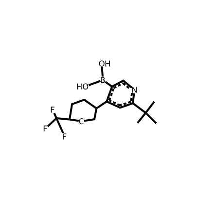 CC(C)(C)c1cc(C2CCC(C(F)(F)F)CC2)c(B(O)O)cn1